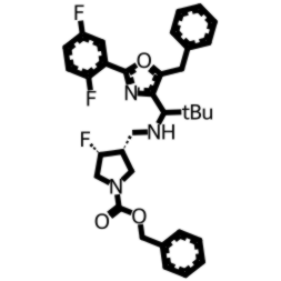 CC(C)(C)C(NC[C@@H]1CN(C(=O)OCc2ccccc2)C[C@@H]1F)c1nc(-c2cc(F)ccc2F)oc1Cc1ccccc1